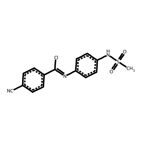 CS(=O)(=O)Nc1ccc(N=C(Cl)c2ccc(C#N)cc2)cc1